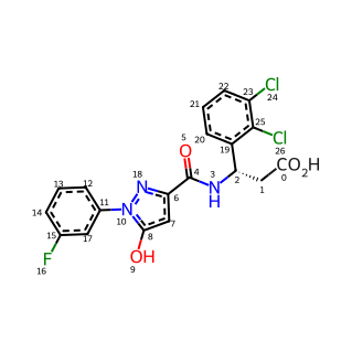 O=C(O)C[C@H](NC(=O)c1cc(O)n(-c2cccc(F)c2)n1)c1cccc(Cl)c1Cl